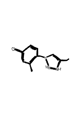 CC1=CN(c2ccc(Cl)cc2C)NN1